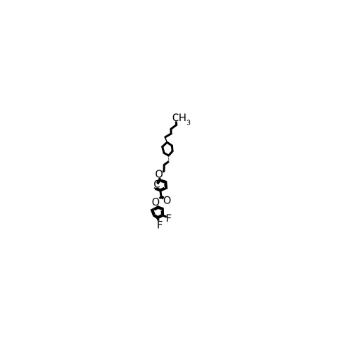 CCCCC[C@H]1CC[C@H](CCCOc2ccc(C(=O)Oc3ccc(F)c(F)c3)cc2)CC1